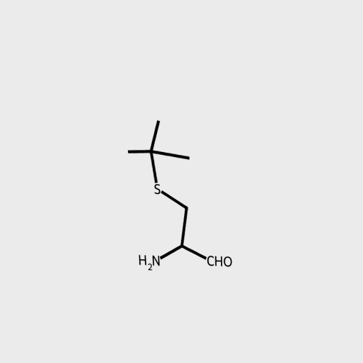 CC(C)(C)SCC(N)C=O